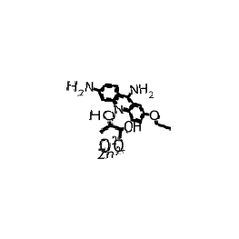 CC(O)C(=O)O.CCOc1ccc2nc3cc(N)ccc3c(N)c2c1.[O-2].[Zn+2]